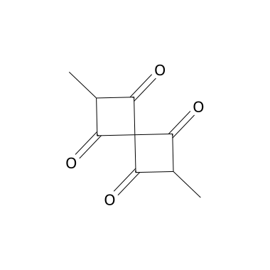 CC1C(=O)C2(C1=O)C(=O)C(C)C2=O